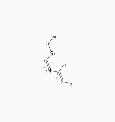 C/C=C(C)/N=C\SCC